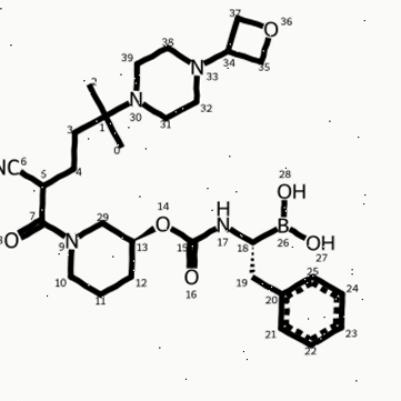 CC(C)(CCC(C#N)C(=O)N1CCC[C@H](OC(=O)N[C@@H](Cc2ccccc2)B(O)O)C1)N1CCN(C2COC2)CC1